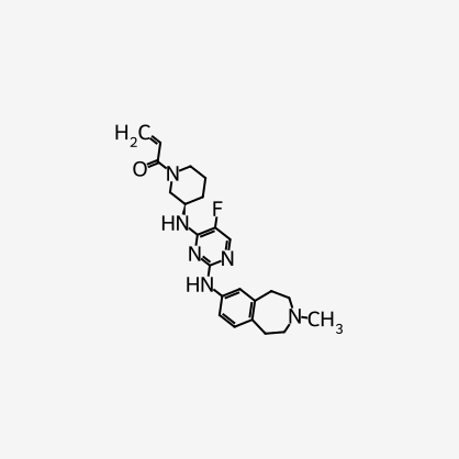 C=CC(=O)N1CCC[C@@H](Nc2nc(Nc3ccc4c(c3)CCN(C)CC4)ncc2F)C1